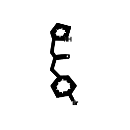 O=C(Cc1ccc(Br)cc1)Cc1ccc[nH]1